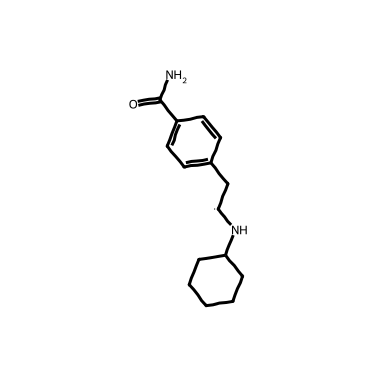 NC(=O)c1ccc(C[CH]NC2CCCCC2)cc1